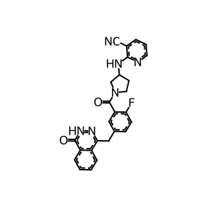 N#Cc1cccnc1NC1CCN(C(=O)c2cc(Cc3n[nH]c(=O)c4ccccc34)ccc2F)C1